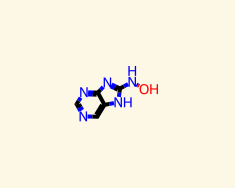 ONc1nc2ncncc2[nH]1